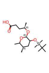 CC1O[C@@H](O[C@H](C)CCC(=O)O)C(O[Si](C)(C)C(C)(C)C)C[C@H]1C